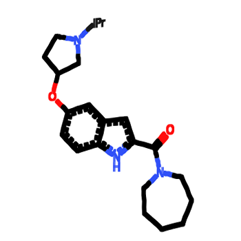 CC(C)N1CCC(Oc2ccc3[nH]c(C(=O)N4CCCCCC4)cc3c2)C1